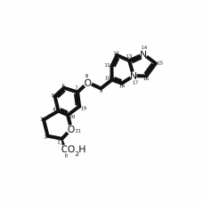 O=C(O)[C@H]1CCc2ccc(OCc3ccc4nccn4c3)cc2O1